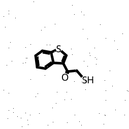 O=C(CS)c1csc2ccccc12